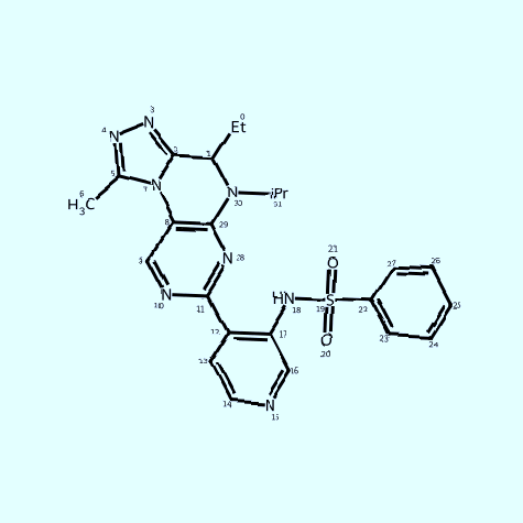 CCC1c2nnc(C)n2-c2cnc(-c3ccncc3NS(=O)(=O)c3ccccc3)nc2N1C(C)C